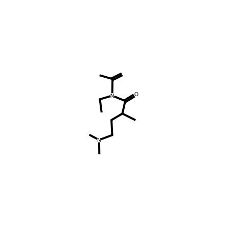 C=C(C)N(CC)C(=O)C(C)CCN(C)C